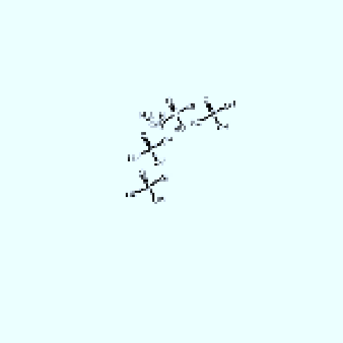 C.C.O=P(O)(O)O.O=P(O)(O)O.O=P(O)(O)O.O=P(O)(O)O